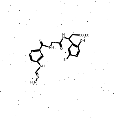 CCOC(=O)CC(NC(=O)CNC(=O)c1cccc(NC=NN)c1)c1cc(Br)ccc1O